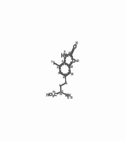 N[C@H](CCc1cc(I)c2[nH]c(=O)oc2c1)C(=O)O